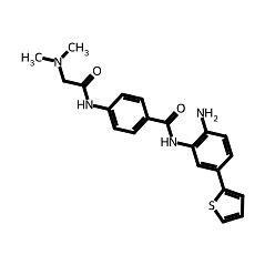 CN(C)CC(=O)Nc1ccc(C(=O)Nc2cc(-c3cccs3)ccc2N)cc1